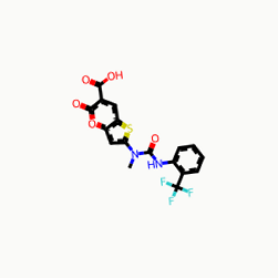 CN(C(=O)Nc1ccccc1C(F)(F)F)c1cc2oc(=O)c(C(=O)O)cc2s1